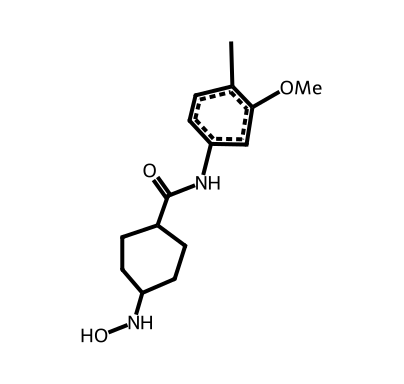 COc1cc(NC(=O)C2CCC(NO)CC2)ccc1C